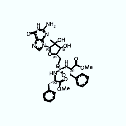 COC(=O)[C@H](Cc1ccccc1)NP(=O)(N[C@@H](Cc1ccccc1)C(=O)OC)OC[C@H]1O[C@@H](n2cnc3c(=O)[nH]c(N)nc32)C(C)(O)[C@H]1O